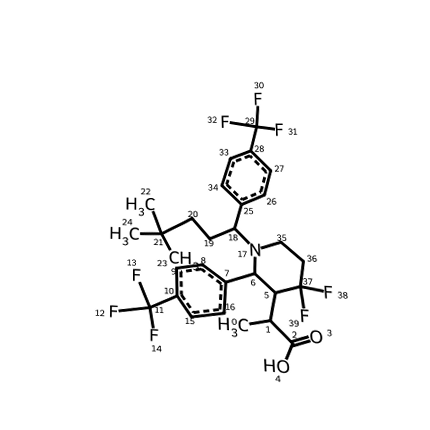 CC(C(=O)O)C1C(c2ccc(C(F)(F)F)cc2)N(C(CCC(C)(C)C)c2ccc(C(F)(F)F)cc2)CCC1(F)F